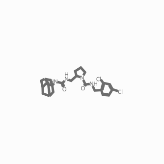 O=C(NCC1CCCN1C(=O)NCc1ccc(Cl)cc1Cl)NC12CC3CC(CC(C3)C1)C2